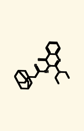 CCN(CC)c1nc2ccccc2c(=O)n1NC(=O)CC12CC3CC(CC(C3)C1)C2